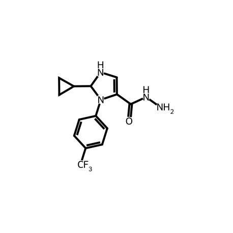 NNC(=O)C1=CNC(C2CC2)N1c1ccc(C(F)(F)F)cc1